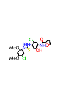 COc1cc(OC)c(NC(=S)Nc2cc(O)c(NC(=O)c3ccco3)cc2Cl)cc1Cl